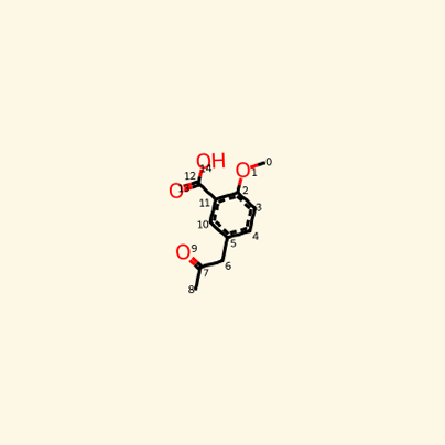 COc1ccc(CC(C)=O)cc1C(=O)O